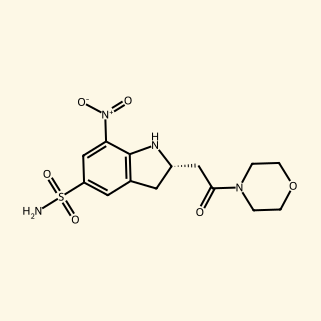 NS(=O)(=O)c1cc2c(c([N+](=O)[O-])c1)N[C@H](CC(=O)N1CCOCC1)C2